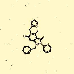 Cc1c2c(=O)n(-c3ccccn3)n(Cc3ccccc3)c2cc(=O)n1Cc1ccco1